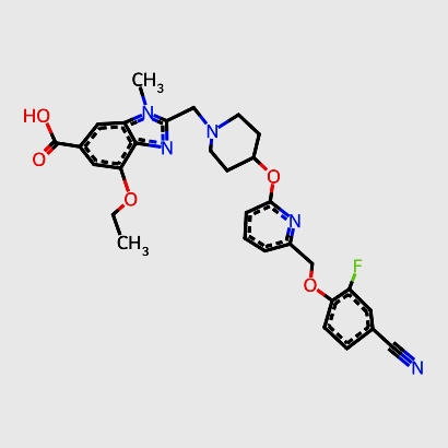 CCOc1cc(C(=O)O)cc2c1nc(CN1CCC(Oc3cccc(COc4ccc(C#N)cc4F)n3)CC1)n2C